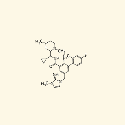 CC1CCN(C)C(C(NC(=O)c2cc(Cn3ccn(C)c3=N)cc(-c3ccc(F)cc3C(F)(F)F)c2F)C2CC2)C1